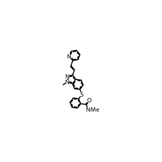 CNC(=O)c1ccccc1Sc1ccc2c(/C=C/c3ccccn3)nn(C)c2c1